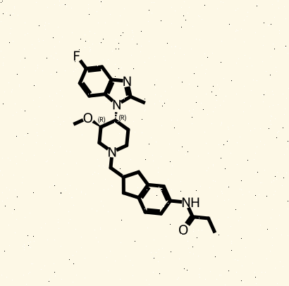 CCC(=O)Nc1ccc2c(c1)CC(CN1CC[C@@H](n3c(C)nc4cc(F)ccc43)[C@H](OC)C1)C2